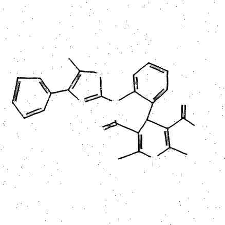 COC(=O)C1=C(C)NC(C)=C(C(=O)OC)C1c1ccccc1Nc1nc(-c2ccccc2)c(C)s1